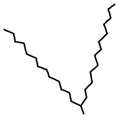 [CH2]C(CCCCCCCCCCCCC)CCCCCCCCCCCCC